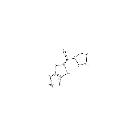 O=C(C1CCOC1)N1CC2=C(CNC2)C1